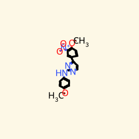 COc1ccc(Nc2nccc(-c3ccc(OC)c([N+](=O)[O-])c3)n2)cc1